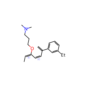 C=C(/C=C\C(=C/C)OCCCN(C)C)c1cccc(CC)c1